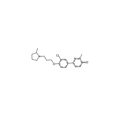 CC1CCCN1CCCOc1ccc(-c2ccc(=O)n(C)n2)cc1Cl